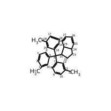 Cc1cccc(C(c2cccc(C)c2)(c2cccc(C)c2)C2CCC3C=CC=CC32)c1